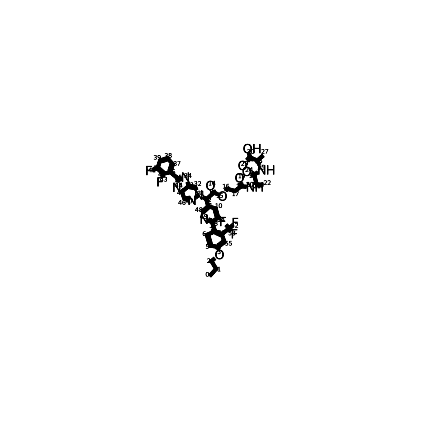 CCCOc1ccc(-c2ccc(C(C(=O)OCCC(=O)NC(C)C(=O)NC(C)C(=O)O)n3cc4nc(-c5cccc(F)c5F)nc-4cn3)cn2)c(C(F)(F)F)c1